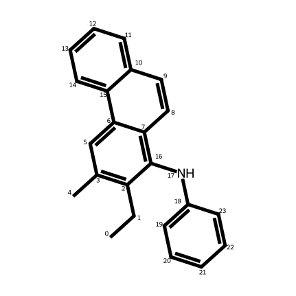 CCc1c(C)cc2c(ccc3ccccc32)c1Nc1ccccc1